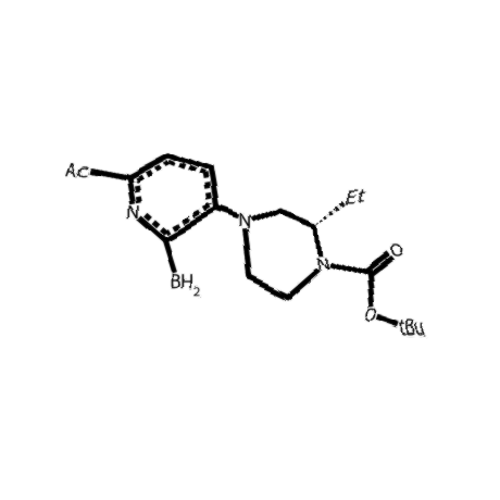 Bc1nc(C(C)=O)ccc1N1CCN(C(=O)OC(C)(C)C)[C@@H](CC)C1